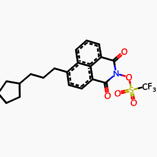 O=C1c2cccc3c(CCCC4CCCC4)ccc(c23)C(=O)N1OS(=O)(=O)C(F)(F)F